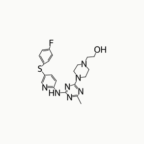 Cc1nc(Nc2ccc(Sc3ccc(F)cc3)cn2)nc(N2CCN(CCO)CC2)n1